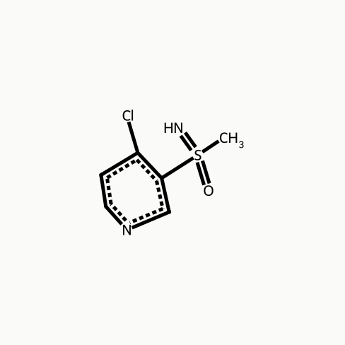 CS(=N)(=O)c1cnccc1Cl